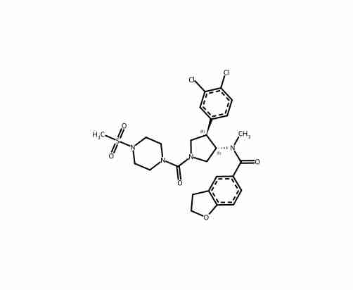 CN(C(=O)c1ccc2c(c1)CCO2)[C@@H]1CN(C(=O)N2CCN(S(C)(=O)=O)CC2)C[C@H]1c1ccc(Cl)c(Cl)c1